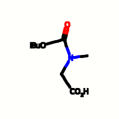 CC(C)COC(=O)N(C)CC(=O)O